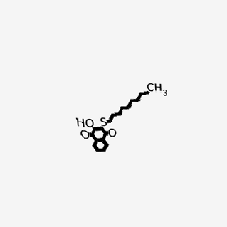 CCCCCCCCCCSC1=C(O)C(=O)c2ccccc2C1=O